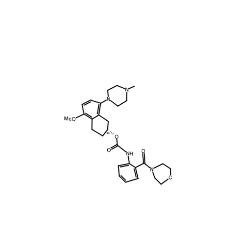 COc1ccc(N2CCN(C)CC2)c2c1CC[C@@H](OC(=O)Nc1ccccc1C(=O)N1CCOCC1)C2